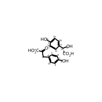 O=C(O)C(=O)Cc1ccc(O)cc1.O=C(O)[C@@H](O)c1ccc(O)cc1